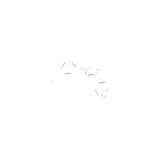 FC(F)(F)c1cccc(NN=C(Br)c2ccncc2)c1